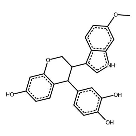 COc1ccc2c(C3COc4cc(O)ccc4C3c3ccc(O)c(O)c3)c[nH]c2c1